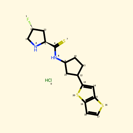 Cl.F[C@H]1CN[C@H](C(=S)NC2CCC(c3cc4sccc4s3)C2)C1